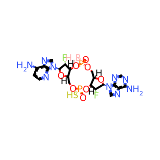 B[P@]1(=O)OC[C@H]2O[C@@H](n3cnc4c(N)ncnc43)[C@H](F)[C@@H]2O[P@](=O)(S)OC[C@H]2O[C@@H](n3cnc4c(N)ccnc43)[C@H](F)[C@@H]2O1